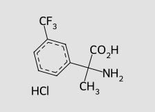 CC(N)(C(=O)O)c1cccc(C(F)(F)F)c1.Cl